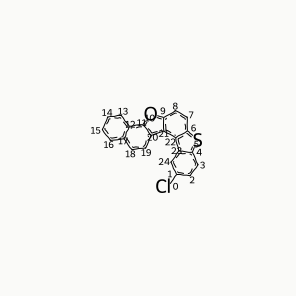 Clc1ccc2sc3ccc4oc5c6ccccc6ccc5c4c3c2c1